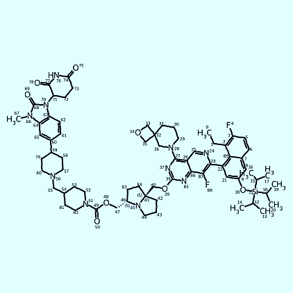 CCc1c(F)ccc2cc(O[Si](C(C)C)(C(C)C)C(C)C)cc(-c3ncc4c(N5CCCC6(COC6)C5)nc(OC[C@@]56CCCN5[C@H](COC(=O)N5CCC(CN7CCC(c8ccc9c(c8)n(C)c(=O)n9C8CCC(=O)NC8=O)CC7)CC5)CC6)nc4c3F)c12